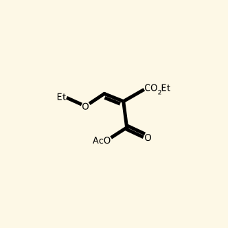 CCO/C=C(/C(=O)OCC)C(=O)OC(C)=O